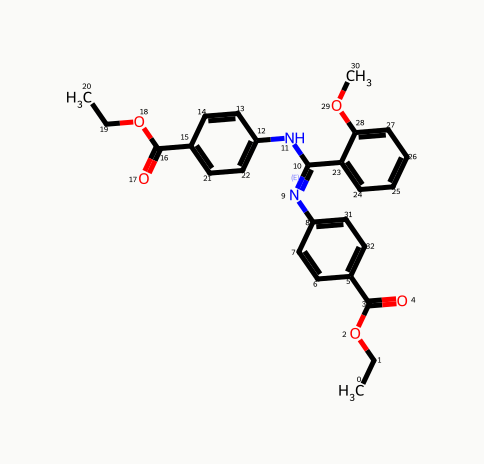 CCOC(=O)c1ccc(/N=C(/Nc2ccc(C(=O)OCC)cc2)c2ccccc2OC)cc1